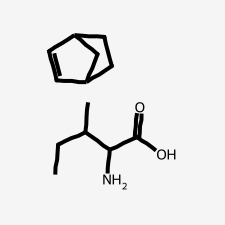 C1=CC2CCC1C2.CCC(C)C(N)C(=O)O